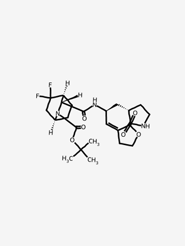 CC(C)(C)OC(=O)N1[C@H]2CC[C@@H]([C@@H]1C(=O)N[C@H](/C=C1/CCOC1=O)C[C@@H]1CCNC1=O)C(F)(F)C2